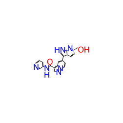 O=C(Nc1cccnc1)c1cnn2ccc(C3=CNC4N=C(CO)C=CC34)cc12